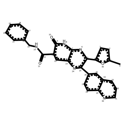 Cc1ccc(-c2nc3[nH]c(=O)c(C(=O)NCc4ccccc4)cc3nc2-c2ccc3ncccc3c2)o1